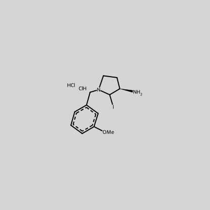 COc1cccc(CN2CC[C@@H](N)C2I)c1.Cl.Cl